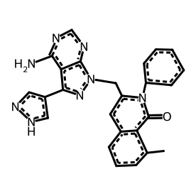 Cc1cccc2cc(Cn3nc(-c4cn[nH]c4)c4c(N)ncnc43)n(-c3ccccc3)c(=O)c12